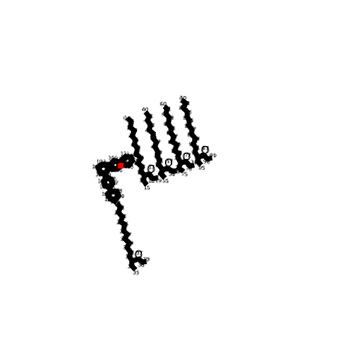 CCCCCCCCCCCCCC(CC)C(=O)CC.CCCCCCCCCCCCCC(CC)C(=O)CC.CCCCCCCCCCCCCC(CC)C(=O)CC.CCCCCCCCCCCCCC(CC)C(=O)CC.CCCCCCCCCCCCCC(CC)C(=O)CC.c1ccccc1.c1ccccc1.c1ccccc1.c1ccccc1.c1ccccc1